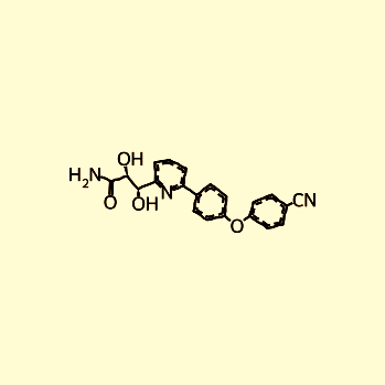 N#Cc1ccc(Oc2ccc(-c3cccc([C@@H](O)[C@H](O)C(N)=O)n3)cc2)cc1